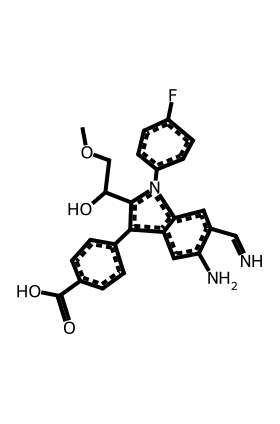 COCC(O)c1c(-c2ccc(C(=O)O)cc2)c2cc(N)c(C=N)cc2n1-c1ccc(F)cc1